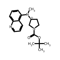 CN(c1cccc2ncccc12)[C@H]1CCN(C(=O)OC(C)(C)C)C1